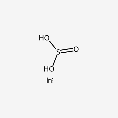 O=S(O)O.[In]